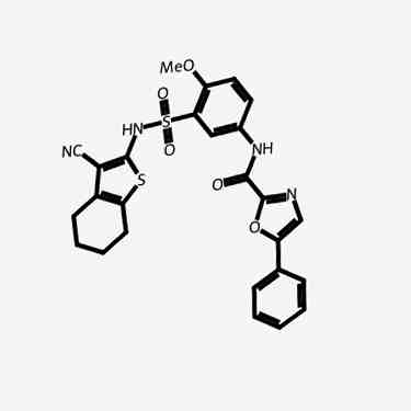 COc1ccc(NC(=O)c2ncc(-c3ccccc3)o2)cc1S(=O)(=O)Nc1sc2c(c1C#N)CCCC2